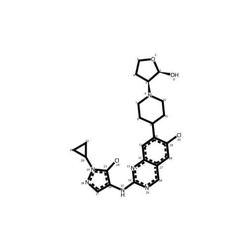 O[C@@H]1OCC[C@@H]1N1CCC(c2cc3nc(Nc4cnn(C5CC5)c4Cl)ncc3cc2Cl)CC1